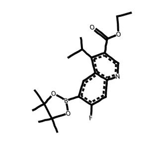 CCOC(=O)c1cnc2cc(F)c(B3OC(C)(C)C(C)(C)O3)cc2c1C(C)C